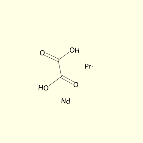 O=C(O)C(=O)O.[Nd].[Pr]